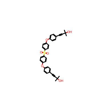 CC(C)(O)C#Cc1ccc(Oc2ccc(S(=O)(=O)c3ccc(Oc4ccc(C#CC(C)(C)O)cc4)cc3)cc2)cc1